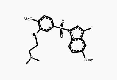 COc1ccc2c(c1)c(C)cn2S(=O)(=O)c1ccc(OC)c(NCCN(C)C)c1